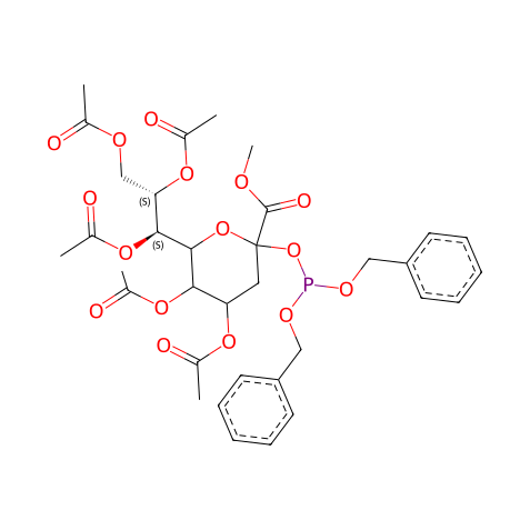 COC(=O)C1(OP(OCc2ccccc2)OCc2ccccc2)CC(OC(C)=O)C(OC(C)=O)C([C@@H](OC(C)=O)[C@H](COC(C)=O)OC(C)=O)O1